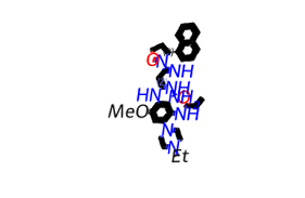 C=CC(=O)Nc1cc(N/C(=C/C(=N)N2OCC[C@@H]2c2cccc3ccccc23)NN)c(OC)cc1N1CCN(CC)CC1